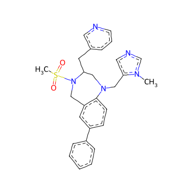 Cn1cncc1CN1CC(Cc2cccnc2)N(S(C)(=O)=O)Cc2cc(-c3ccccc3)ccc21